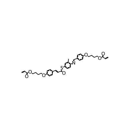 C=CC(=O)OCCCCOc1ccc(/C=C/C(=O)Sc2ccc(/N=C/c3ccc(OCCCCOC(=O)C=C)cc3)c(C)c2)cc1